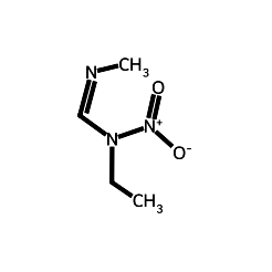 CCN(/C=N\C)[N+](=O)[O-]